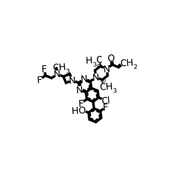 C=CC(=O)N1C[C@H](C)N(c2nc(N3CC(N(C)CC(F)F)C3)nc3c(F)c(-c4c(O)cccc4F)c(Cl)cc23)C[C@H]1C